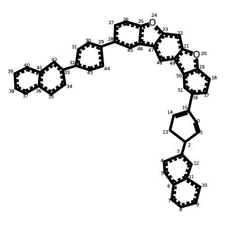 C1=CC(c2ccc3ccccc3c2)CC=C1c1ccc2oc3cc4oc5ccc(-c6ccc(-c7ccc8ccccc8c7)cc6)cc5c4cc3c2c1